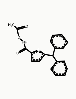 CC(=O)ONC(=O)c1ccc(C(c2ccccc2)c2ccccc2)s1